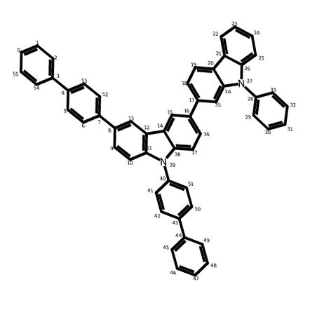 c1ccc(-c2ccc(-c3ccc4c(c3)c3cc(-c5ccc6c7ccccc7n(-c7ccccc7)c6c5)ccc3n4-c3ccc(-c4ccccc4)cc3)cc2)cc1